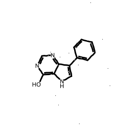 Oc1ncnc2c(-c3ccccc3)c[nH]c12